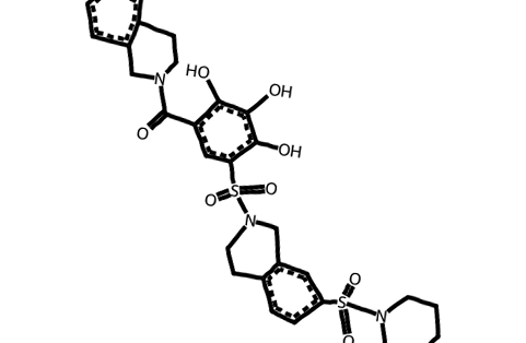 O=C(c1cc(S(=O)(=O)N2CCc3ccc(S(=O)(=O)N4CCCCC4)cc3C2)c(O)c(O)c1O)N1CCc2ccccc2C1